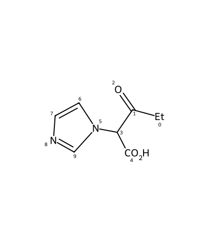 CCC(=O)C(C(=O)O)n1ccnc1